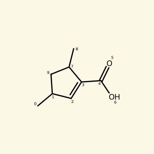 CC1C=C(C(=O)O)C(C)C1